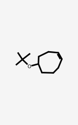 CC(C)(C)OC1CCC=CCCC1